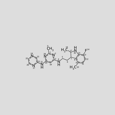 Cc1nc(NCCC2c3c(C)ccc(F)c3NC2C)cc(Nc2cnccn2)n1